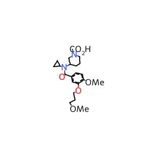 COCCCOc1cc(C(=O)N(C2CC2)C2CCCN(C(=O)O)C2)ccc1OC